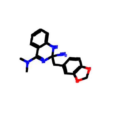 CN(C)C1=NC(N)(Cc2ccc3c(c2)OCO3)Nc2ccccc21